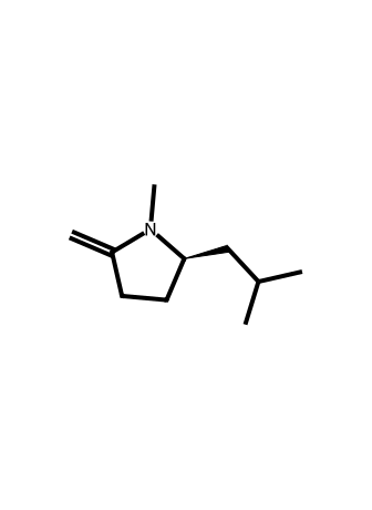 C=C1CC[C@H](CC(C)C)N1C